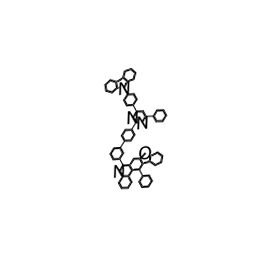 c1ccc(-c2cc(-c3ccc(-n4c5ccccc5c5ccccc54)cc3)nc(-c3ccc(-c4cccc(-c5nc6ccccc6c6c(-c7ccccc7)c7c(cc56)oc5ccccc57)c4)cc3)n2)cc1